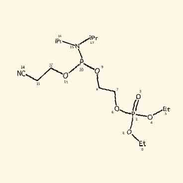 CCOP(=O)(OCC)OCCOP(OCCC#N)N(C(C)C)C(C)C